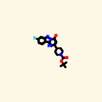 CC(C)(C)OC(=O)N1CCC(c2cc(=O)n3nc4cc(F)ccc4c3[nH]2)CC1